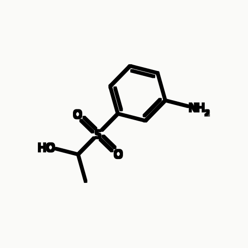 CC(O)S(=O)(=O)c1cccc(N)c1